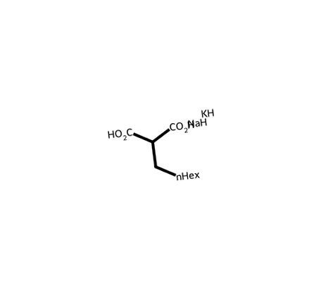 CCCCCCCC(C(=O)O)C(=O)O.[KH].[NaH]